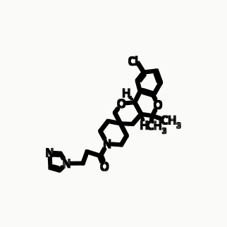 CC1(C)Oc2ccc(Cl)cc2[C@@H]2OCC3(CCN(C(=O)CCn4ccnc4)CC3)C[C@H]21